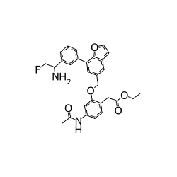 CCOC(=O)Cc1ccc(NC(C)=O)cc1OCc1cc(-c2cccc(C(N)CF)c2)c2occc2c1